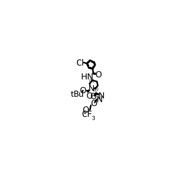 CC(C)(C)OC(=O)N1C[C@@H](NC(=O)c2cccc(Cl)c2)CC[C@@H]1c1nnc(OCCOC(F)(F)F)o1